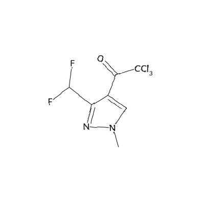 Cn1cc(C(=O)C(Cl)(Cl)Cl)c(C(F)F)n1